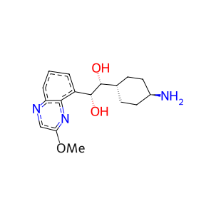 COc1cnc2cccc([C@@H](O)[C@H](O)[C@H]3CC[C@H](N)CC3)c2n1